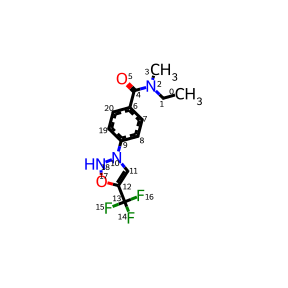 CCN(C)C(=O)c1ccc(N2C=C(C(F)(F)F)ON2)cc1